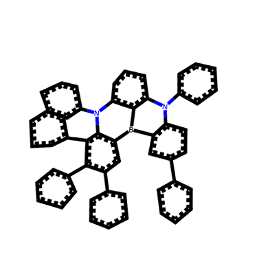 c1ccc(-c2ccc3c(c2)B2c4cc(-c5ccccc5)c(-c5ccccc5)c(-c5ccccc5)c4N(c4ccccc4)c4cccc(c42)N3c2ccccc2)cc1